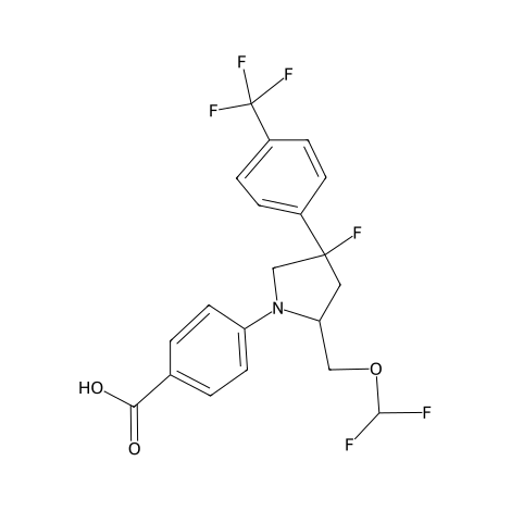 O=C(O)c1ccc(N2CC(F)(c3ccc(C(F)(F)F)cc3)CC2COC(F)F)cc1